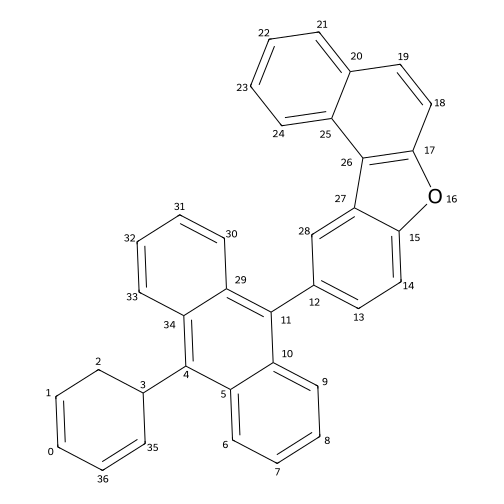 C1=CCC(c2c3ccccc3c(-c3ccc4oc5ccc6ccccc6c5c4c3)c3ccccc23)C=C1